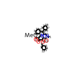 COC(=O)c1cn2c(c(OCc3ccccc3)c1=O)C(=O)N(C)CC2C(c1ccccc1)c1ccccc1